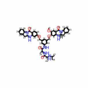 COc1cc2c(cc1OCc1cc(COc3ccc4c(c3)NC3Cc5ccccc5N3C4=O)cc(NC(=O)[C@H](C)NC(=O)[C@H](C)NC(C)C)c1)N[C@@H]1Cc3ccccc3N1C2=O